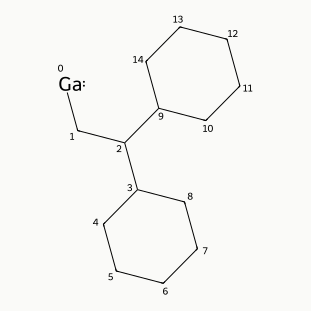 [Ga][CH2]C(C1CCCCC1)C1CCCCC1